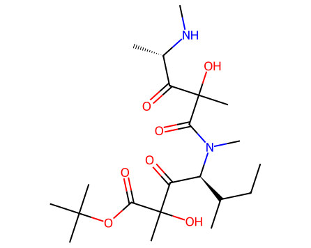 CCC(C)[C@@H](C(=O)C(C)(O)C(=O)OC(C)(C)C)N(C)C(=O)C(C)(O)C(=O)[C@H](C)NC